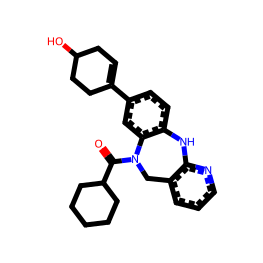 O=C(C1CCCCC1)N1Cc2cccnc2Nc2ccc(C3=CCC(O)CC3)cc21